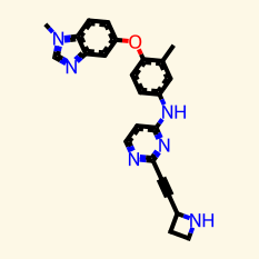 Cc1cc(Nc2ccnc(C#CC3CCN3)n2)ccc1Oc1ccc2c(c1)ncn2C